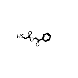 O=C(CS)OCC(=O)c1ccccc1